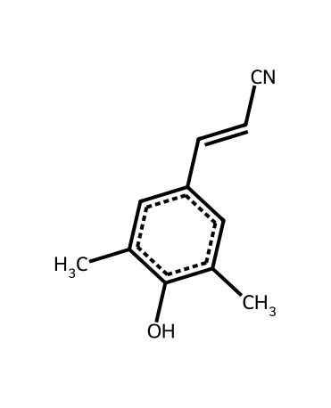 Cc1cc(C=CC#N)cc(C)c1O